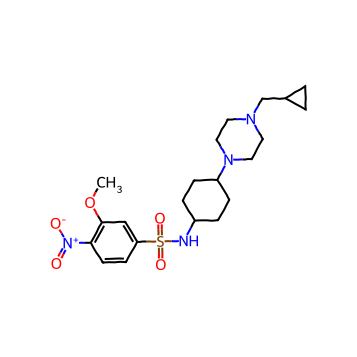 COc1cc(S(=O)(=O)NC2CCC(N3CCN(CC4CC4)CC3)CC2)ccc1[N+](=O)[O-]